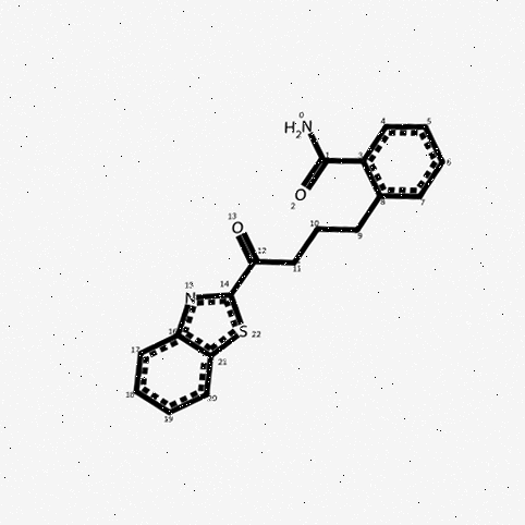 NC(=O)c1ccccc1CC[CH]C(=O)c1nc2ccccc2s1